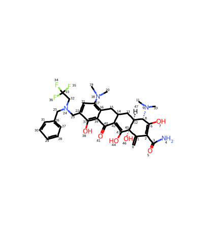 C=C1C(C(N)=O)=C(O)[C@@H](N(C)C)[C@@H]2CC3Cc4c(N(C)C)cc(CN(Cc5ccccc5)CC(F)(F)F)c(O)c4C(=O)C3=C(O)[C@]12O